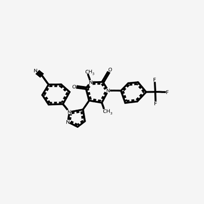 Cc1c(-c2ccnn2-c2ccc(C#N)cc2)c(=O)n(C)c(=O)n1-c1ccc(C(F)(F)F)cc1